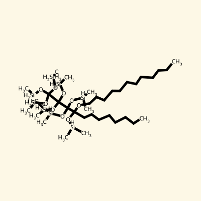 CCCCCCCCCCCCOC(CCCCCCCC)(O[SiH](C)C)C(O[SiH](C)C)(O[SiH](C)C)C(O[SiH2]C)(O[SiH](C)C)C(O[SiH2]C)(O[SiH2]C)O[SiH2]C